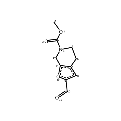 COC(=O)N1CCc2cc(C=O)oc2C1